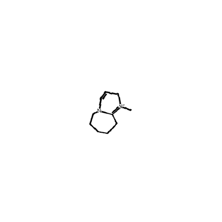 C[N+]1=C2CCCCCN2C=CC1